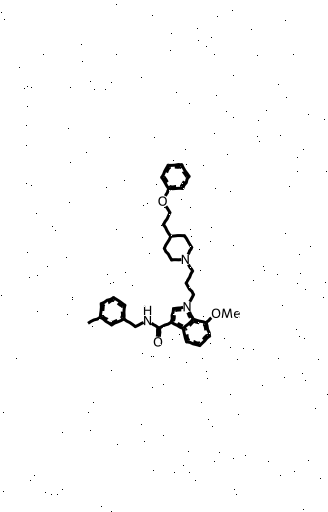 COc1cccc2c(C(=O)NCc3cccc(C)c3)cn(CCCN3CCC(CCOc4ccccc4)CC3)c12